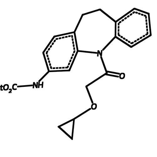 CCOC(=O)Nc1ccc2c(c1)N(C(=O)COC1CC1)c1ccccc1CC2